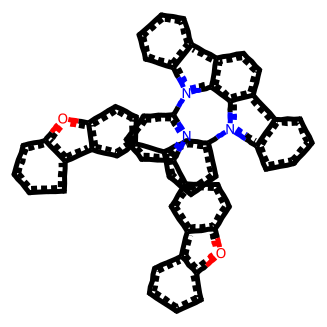 c1cc(-c2ccc3oc4ccccc4c3c2)cc(-n2c3ccccc3c3ccc4c5ccccc5n(-c5cccc(-c6ccc7oc8ccccc8c7c6)n5)c4c32)c1